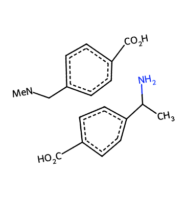 CC(N)c1ccc(C(=O)O)cc1.CNCc1ccc(C(=O)O)cc1